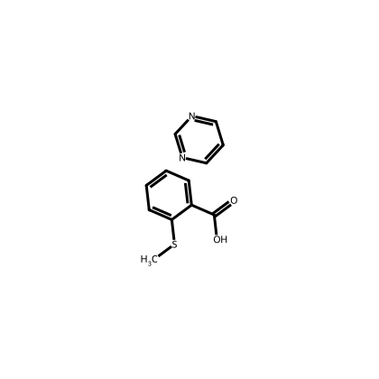 CSc1ccccc1C(=O)O.c1cncnc1